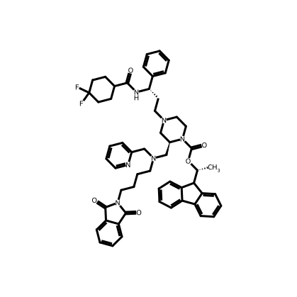 C[C@@H](OC(=O)N1CCN(CC[C@H](NC(=O)C2CCC(F)(F)CC2)c2ccccc2)C[C@@H]1CN(CCCCN1C(=O)c2ccccc2C1=O)Cc1ccccn1)C1c2ccccc2-c2ccccc21